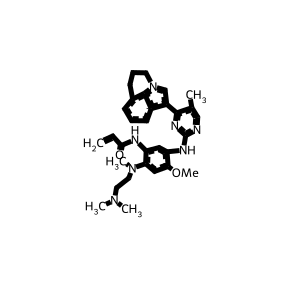 C=CC(=O)Nc1cc(Nc2ncc(C)c(-c3cn4c5c(cccc35)CCC4)n2)c(OC)cc1N(C)CCN(C)C